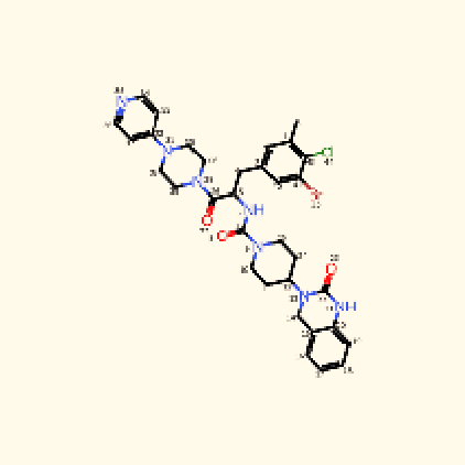 Cc1cc(CC(NC(=O)N2CCC(N3Cc4ccccc4NC3=O)CC2)C(=O)N2CCN(c3ccncc3)CC2)cc(Br)c1Cl